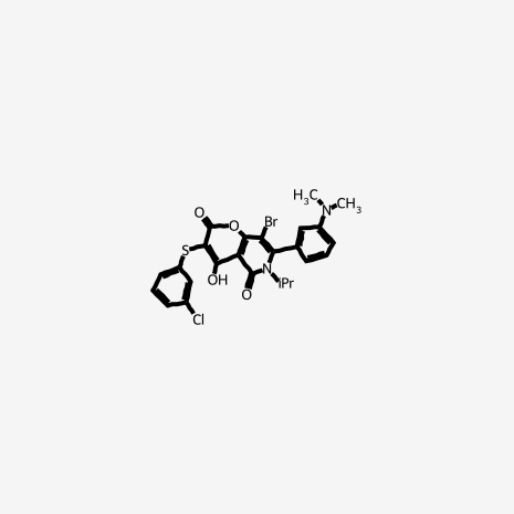 CC(C)n1c(-c2cccc(N(C)C)c2)c(Br)c2oc(=O)c(Sc3cccc(Cl)c3)c(O)c2c1=O